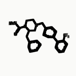 CNC(=O)N1CCN(Cc2ccc(-c3ccccc3C(F)(F)F)cc2)CC1Cc1ccccc1